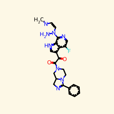 C=N/C=C\N(N)c1ncc(F)c2c(C(=O)C(=O)N3CCN4C(c5ccccc5)=NCC4C3)c[nH]c12